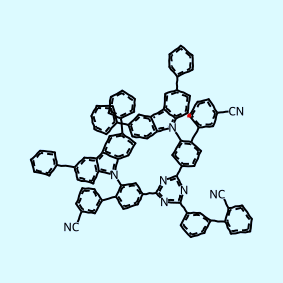 N#Cc1cccc(-c2ccc(-c3nc(-c4cccc(-c5ccccc5C#N)c4)nc(-c4ccc(-c5cccc(C#N)c5)c(-n5c6ccc(-c7ccccc7)cc6c6cc(-c7ccccc7)ccc65)c4)n3)cc2-n2c3ccc(-c4ccccc4)cc3c3cc(-c4ccccc4)ccc32)c1